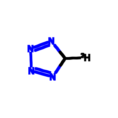 [2H]C1N=NN=N1